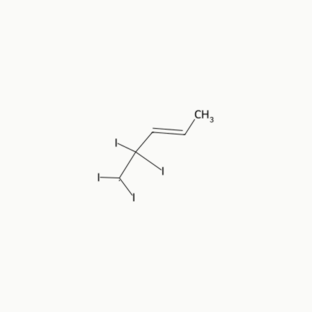 CC=CC(I)(I)[C](I)I